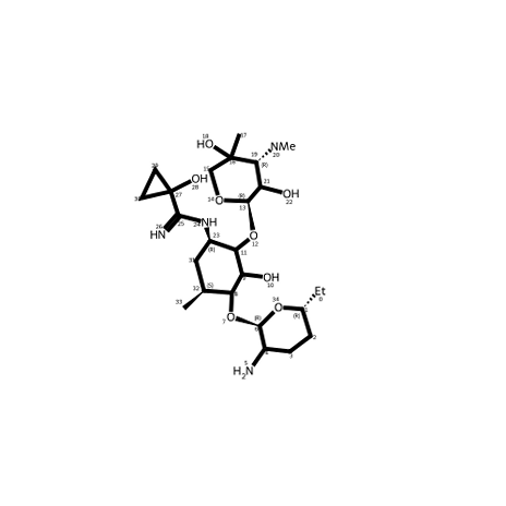 CC[C@@H]1CCC(N)[C@@H](OC2C(O)C(O[C@H]3OCC(C)(O)[C@H](NC)C3O)[C@H](NC(=N)C3(O)CC3)C[C@@H]2C)O1